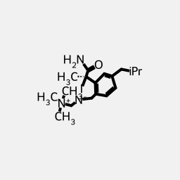 CC(C)Cc1ccc(C[N-]C[N+](C)(C)C)c([C@@](C)(I)C(N)=O)c1